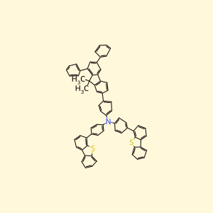 CC1(C)c2cc(-c3ccc(N(c4ccc(-c5cccc6c5sc5ccccc56)cc4)c4ccc(-c5cccc6c5sc5ccccc56)cc4)cc3)ccc2-c2cc(-c3ccccc3)cc(-c3ccccc3)c21